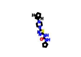 O=C(Nc1nnc(N2CCN(C3C[C@@H]4CC[C@H]3C4)CC2)s1)NC1CCCC1